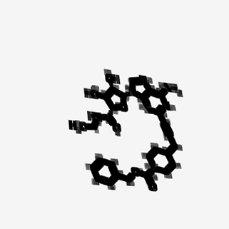 CCNC(=O)[C@H]1O[C@@H](n2cnc3c(N)nc(C#CCC4CCN(C(=O)OCc5ccccc5)CC4)nc32)[C@@H](O)C1O